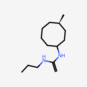 C=C(NCCC)NC1CCCC[C@@H](C)CC1